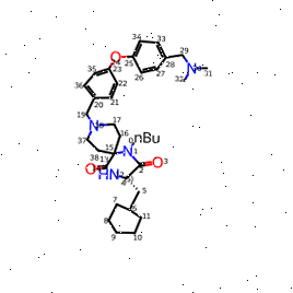 CCCCN1C(=O)[C@H](CC2CCCCC2)NC(=O)C12CCN(Cc1ccc(Oc3ccc(CN(C)C)cc3)cc1)CC2